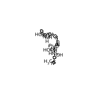 Cc1ncsc1-c1ccc([C@H](CO)NC(=O)[C@@H]2C[C@@H](O)CN2C(=O)C(c2cc(OCCN3CCC(CN4CCN5c6cc(-c7ccccc7O)nnc6NC[C@H]5C4)CC3)no2)C(C)C)cc1